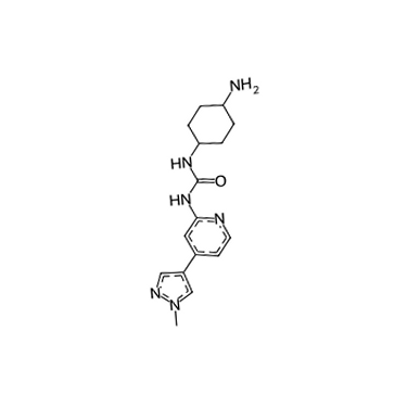 Cn1cc(-c2ccnc(NC(=O)NC3CCC(N)CC3)c2)cn1